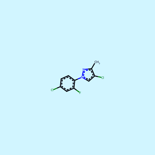 Cc1nn(-c2ccc(Cl)cc2F)cc1Cl